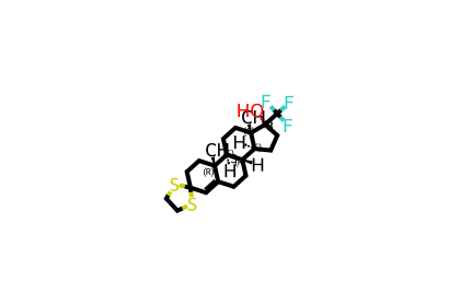 C[C@]12CCC3(C=C1CC[C@@H]1[C@@H]2CC[C@@]2(C)[C@H]1CC[C@@]2(O)C(F)(F)F)SCCS3